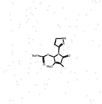 COC(=O)OC1C(OC)=C(C)C(=O)N1C1=NNCC1